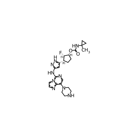 CC1(NC(=O)O[C@@H]2CC[C@H](c3cc(Nc4ncc(N5CCNCC5)c5nccn45)n[nH]3)[C@@H]2F)CC1